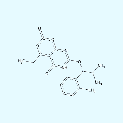 CCc1cc(=O)oc2nc(O[C@@H](c3ccccc3C)C(C)C)[nH]c(=O)c12